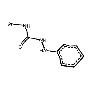 CC(C)NC(=O)NNc1ccccc1